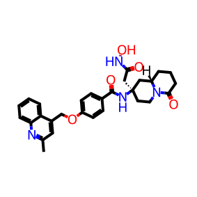 Cc1cc(COc2ccc(C(=O)N[C@]3(CC(=O)NO)CCN4C(=O)CCC[C@H]4C3)cc2)c2ccccc2n1